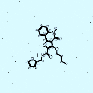 CCCCOc1c(C(=O)NCc2ccco2)sc2c1c(=O)n(C)c1ccccc21